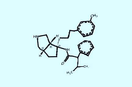 Cc1cccc(CCC[C@]2(NC(=O)C(c3ccccc3)C(C)C)CC[C@@H]3CNC[C@@H]32)c1